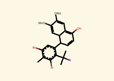 COC1=CC2=C(O)C=CC(c3cc(Br)c(C)c(Br)c3C(C)(C)I)C2C=C1OC